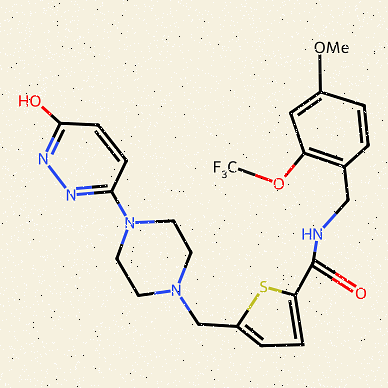 COc1ccc(CNC(=O)c2ccc(CN3CCN(c4ccc(O)nn4)CC3)s2)c(OC(F)(F)F)c1